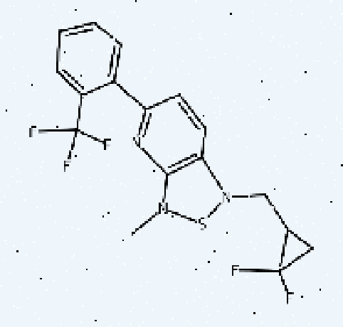 CN1SN(CC2CC2(F)F)c2ccc(-c3ccccc3C(F)(F)F)nc21